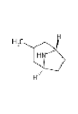 CC1C[C@@H]2CC[C@@H](C1)N2